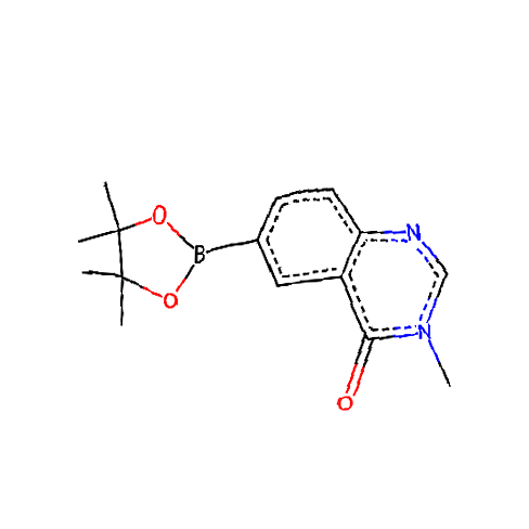 Cn1cnc2ccc(B3OC(C)(C)C(C)(C)O3)cc2c1=O